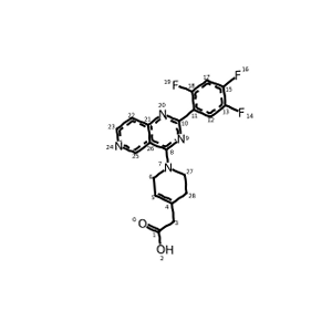 O=C(O)CC1=CCN(c2nc(-c3cc(F)c(F)cc3F)nc3ccncc23)CC1